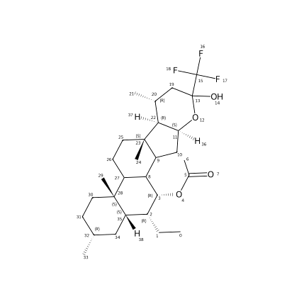 CC[C@H]1[C@@H](OC(C)=O)C2C3C[C@@H]4OC(O)(C(F)(F)F)C[C@@H](C)[C@@H]4[C@@]3(C)CCC2[C@@]2(C)CC[C@@H](C)C[C@@H]12